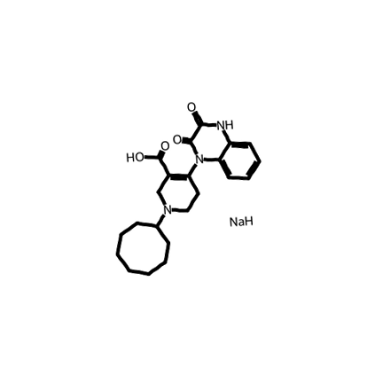 O=C(O)C1=C(n2c(=O)c(=O)[nH]c3ccccc32)CCN(C2CCCCCCC2)C1.[NaH]